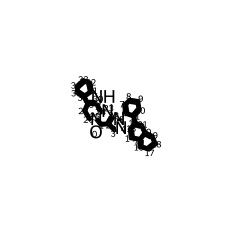 O=c1c2cnn(-c3ccccc3-c3ccc4ccccc4c3)c2nc2n1CCc1c-2[nH]c2ccccc12